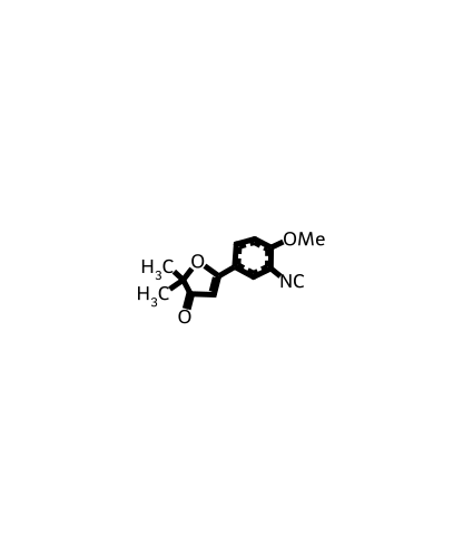 [C-]#[N+]c1cc(C2=CC(=O)C(C)(C)O2)ccc1OC